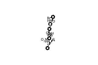 CN(C)CC[C@H](CSc1ccccc1)Nc1ccc(S(=O)(=O)NC(=O)c2ccc(N3CCC(NC(=O)c4ccccc4Br)CC3)cc2)cc1[N+](=O)[O-]